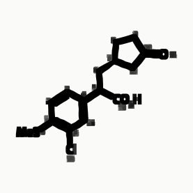 CSc1ccc(C(C[C@H]2CCC(=O)C2)C(=O)O)cc1Cl